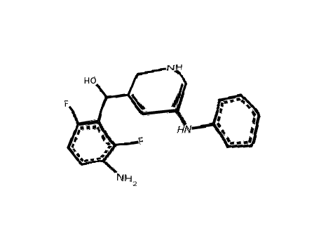 Nc1ccc(F)c(C(O)C2=CC(Nc3ccccc3)=CNC2)c1F